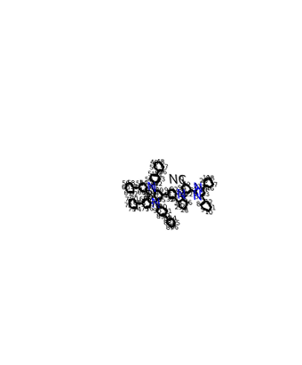 N#Cc1cc(-c2nc(-c3ccccc3)cc(-c3ccccc3)n2)cc(-n2c3ccccc3c3cc(-c4cc5c6c(c4)N(c4ccc(-c7ccccc7)cc4)c4ccc(-c7ccccc7)cc4B6c4cc(-c6ccccc6)ccc4N5c4ccc(-c5ccccc5)cc4)ccc32)c1